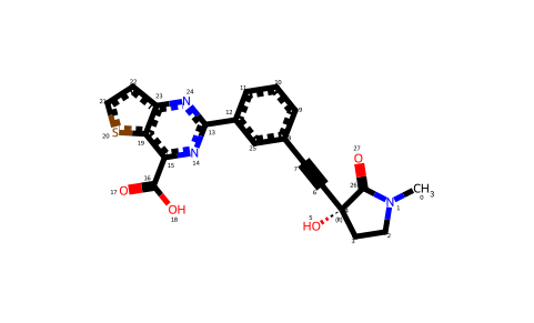 CN1CC[C@@](O)(C#Cc2cccc(-c3nc(C(=O)O)c4sccc4n3)c2)C1=O